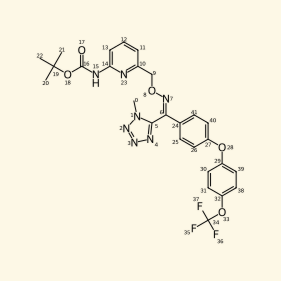 Cn1nnnc1/C(=N\OCc1cccc(NC(=O)OC(C)(C)C)n1)c1ccc(Oc2ccc(OC(F)(F)F)cc2)cc1